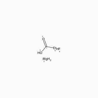 CCC(=O)O.F.[MgH2]